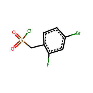 O=S(=O)(Cl)Cc1ccc(Br)cc1F